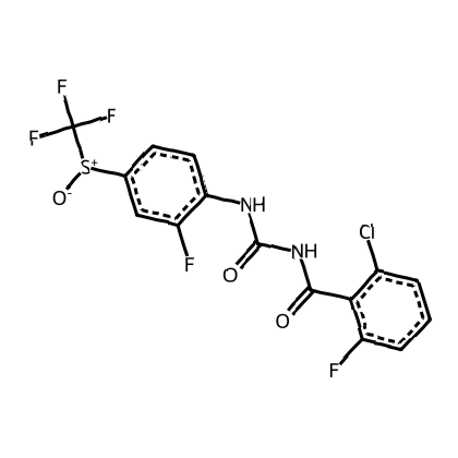 O=C(NC(=O)c1c(F)cccc1Cl)Nc1ccc([S+]([O-])C(F)(F)F)cc1F